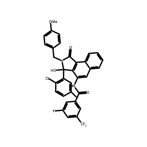 COc1ccc(CN2C(=O)c3c(c(NC(=O)c4cc(F)cc(C(F)(F)F)c4)cc4ccccc34)C2(O)c2cc(F)ccc2Cl)cc1